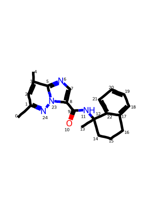 Cc1cc(C)c2ncc(C(=O)NC3(C)CCCc4ccccc43)n2n1